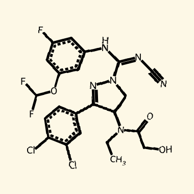 CCN(C(=O)CO)C1CN(/C(=N\C#N)Nc2cc(F)cc(OC(F)F)c2)N=C1c1ccc(Cl)c(Cl)c1